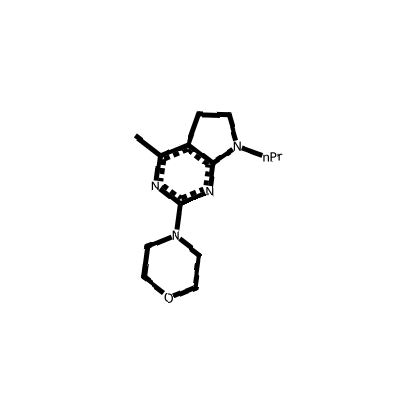 CCCN1CCc2c(C)nc(N3CCOCC3)nc21